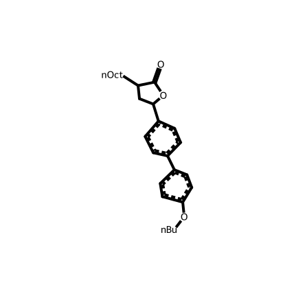 CCCCCCCCC1CC(c2ccc(-c3ccc(OCCCC)cc3)cc2)OC1=O